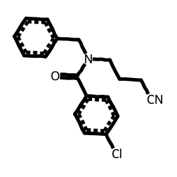 N#CCCCN(Cc1ccccc1)C(=O)c1ccc(Cl)cc1